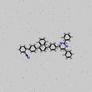 N#Cc1ccccc1-c1ccc(-c2ccc(-c3ccc(-c4cc(-c5ccccc5)nc(-c5ccccc5)n4)cc3)c3ccccc23)cc1